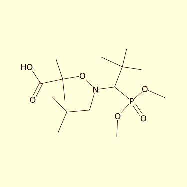 COP(=O)(OC)C(N(CC(C)C)OC(C)(C)C(=O)O)C(C)(C)C